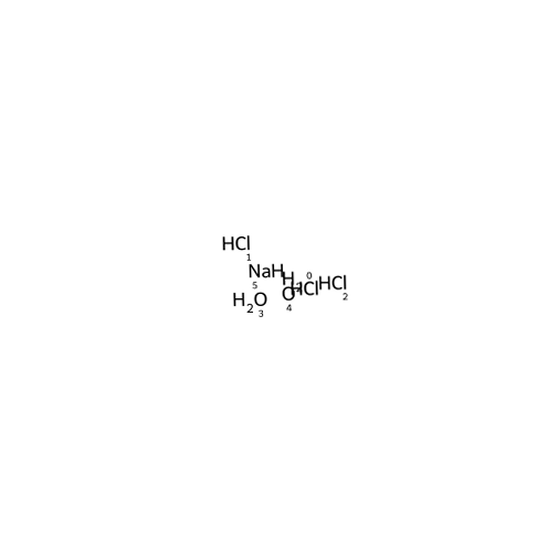 Cl.Cl.Cl.O.O.[NaH]